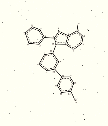 Cc1cccc2c1nc(-c1ccccc1)n2-c1cccc(-c2ccc(Br)cc2)c1